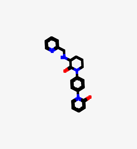 O=C1C(NCc2ccccn2)CCCN1c1ccc(-n2ccccc2=O)cc1